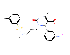 CC1=C(C(=O)O)C(c2cccc([N+](=O)[O-])c2)N(CCCN(C)S(=O)(=O)c2cccc(C)c2)C(=O)N1